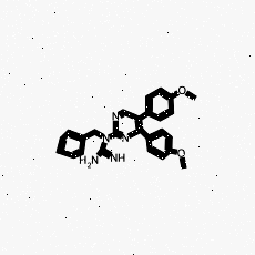 COc1ccc(-c2cnc(N(Cc3ccccc3)C(=N)N)nc2-c2ccc(OC)cc2)cc1